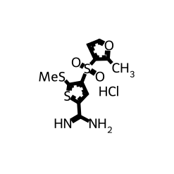 CSc1sc(C(=N)N)cc1S(=O)(=O)c1ccoc1C.Cl